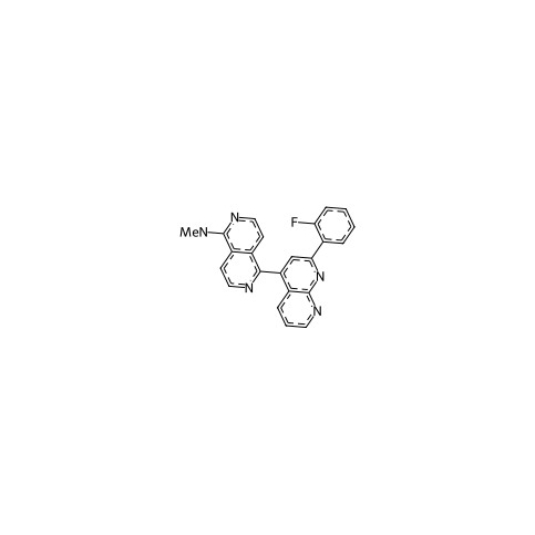 CNc1nccc2c(-c3cc(-c4ccccc4F)nc4ncccc34)nccc12